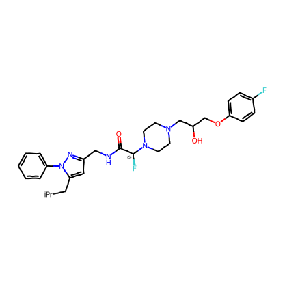 CC(C)Cc1cc(CNC(=O)[C@H](F)N2CCN(CC(O)COc3ccc(F)cc3)CC2)nn1-c1ccccc1